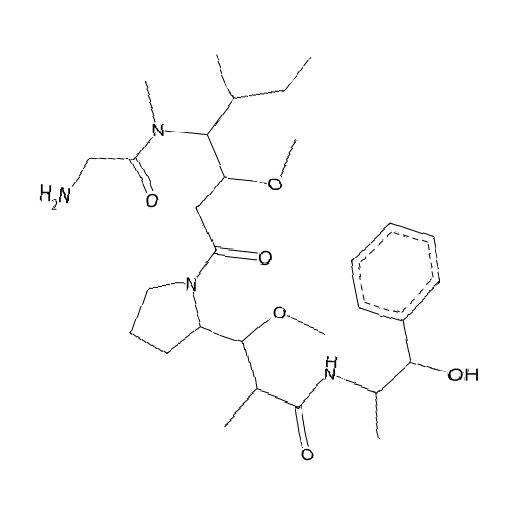 CCC(C)C(C(CC(=O)N1CCCC1C(OC)C(C)C(=O)NC(C)C(O)c1ccccc1)OC)N(C)C(=O)CN